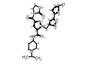 CC(C)N1CCC(NC(=O)c2cc(C(=O)N3CCOC3=O)nn2Cc2cc(-c3ccc(Cl)s3)on2)CC1